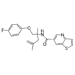 C=C(C)CC(C)(COc1ccc(F)cc1)NC(=O)c1cnc2ccsc2c1